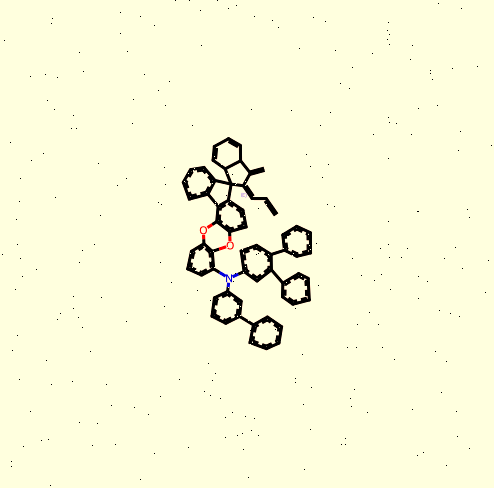 C=C/C=C1\C(=C)C2C=CC=CC2C12c1ccccc1-c1c2ccc2c1Oc1cccc(N(c3cccc(-c4ccccc4)c3)c3ccc(-c4ccccc4)c(-c4ccccc4)c3)c1O2